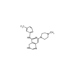 CN1CCN(c2cc3c(c(Nc4cccc(C(F)(F)F)c4)n2)CNC=N3)CC1